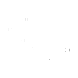 Cc1ncnc2c(C(C)(C)C)cccc12